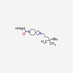 CCCCCCCC(=O)N1CCC2(CC1)CN(CCCC(C)(C)CCCC)C2